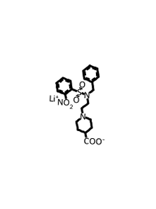 O=C([O-])C1CCN(CCN(Cc2ccccc2)S(=O)(=O)c2ccccc2[N+](=O)[O-])CC1.[Li+]